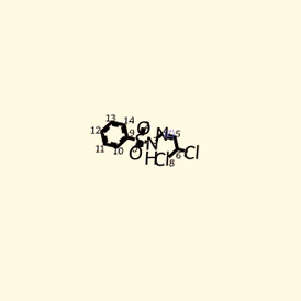 O=S(=O)(N/N=C\C(Cl)Cl)c1ccccc1